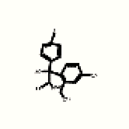 CCC(NC)C(O)(c1ccc(F)cc1)c1ccc(C#N)cc1CO